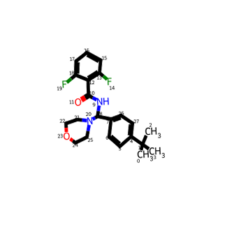 CC(C)(C)c1ccc(C(NC(=O)c2c(F)cccc2F)N2CCOCC2)cc1